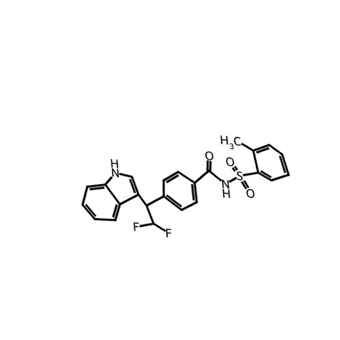 Cc1ccccc1S(=O)(=O)NC(=O)c1ccc(C(c2c[nH]c3ccccc23)C(F)F)cc1